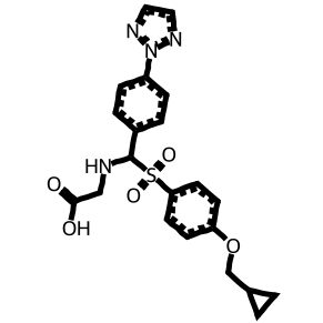 O=C(O)CNC(c1ccc(-n2nccn2)cc1)S(=O)(=O)c1ccc(OCC2CC2)cc1